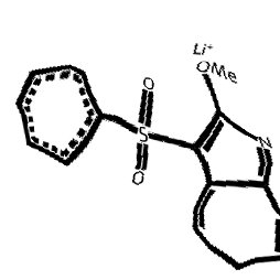 COC1=C(S(=O)(=O)c2ccccc2)C2=CCC=CC2=N1.[Li+]